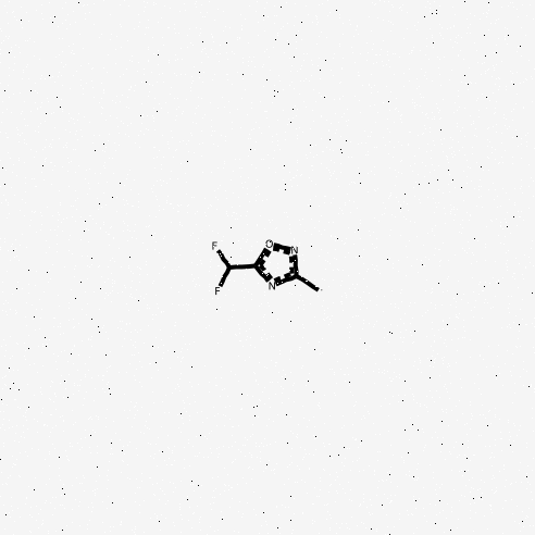 [CH2]c1noc(C(F)F)n1